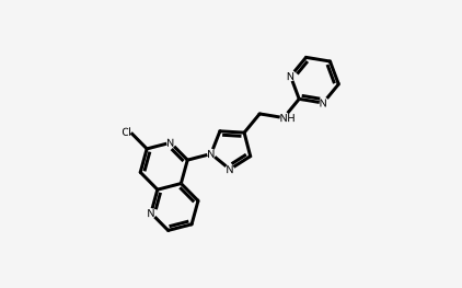 Clc1cc2ncccc2c(-n2cc(CNc3ncccn3)cn2)n1